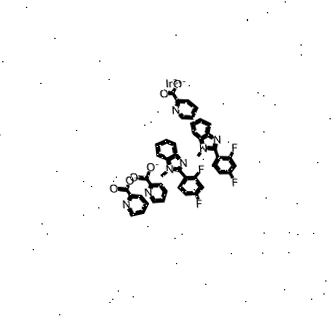 Cn1c(-c2ccc(F)cc2F)nc2ccccc21.Cn1c(-c2ccc(F)cc2F)nc2ccccc21.O=C([O-])c1ccccn1.O=C([O-])c1ccccn1.O=C([O-])c1ccccn1.[Ir+3]